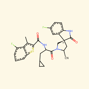 Cc1c(C(=O)NC(CC2CC2)C(=O)N2C[C@]3(CC2C#N)C(=O)Nc2ccc(F)cc23)sc2cccc(F)c12